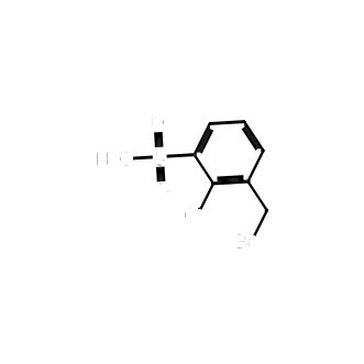 CS(=O)(=O)c1cccc(CBr)c1Cl